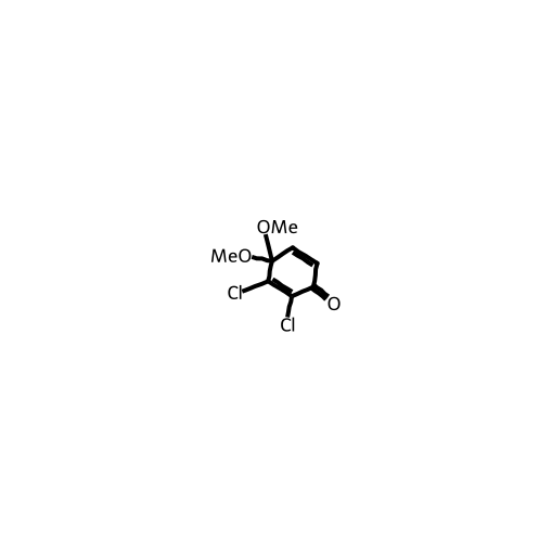 COC1(OC)C=CC(=O)C(Cl)=C1Cl